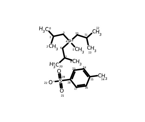 CC(C)C[P+](C)(CC(C)C)CC(C)C.Cc1ccc(S(=O)(=O)[O-])cc1